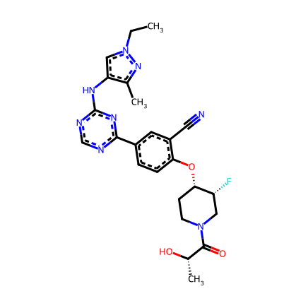 CCn1cc(Nc2ncnc(-c3ccc(O[C@H]4CCN(C(=O)[C@H](C)O)C[C@H]4F)c(C#N)c3)n2)c(C)n1